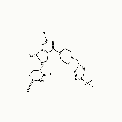 CC(C)(C)n1cc(CN2CCN(c3cc(F)cc4c3CN(C3CCC(=O)NC3=O)C4=O)CC2)nn1